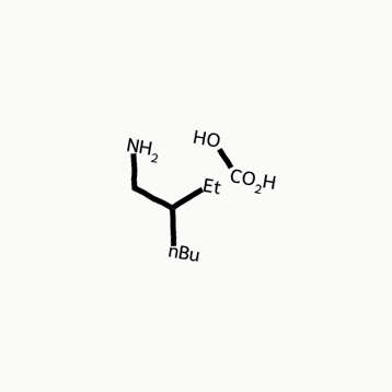 CCCCC(CC)CN.O=C(O)O